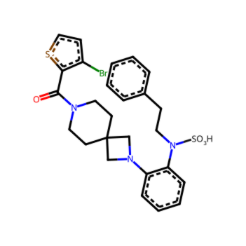 O=C(c1sccc1Br)N1CCC2(CC1)CN(c1ccccc1N(CCc1ccccc1)S(=O)(=O)O)C2